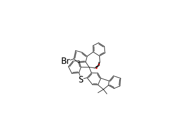 CC1(C)c2ccccc2-c2cc3c(cc21)Sc1ccccc1C31c2ccccc2-c2ccccc2-c2ccc(Br)cc21